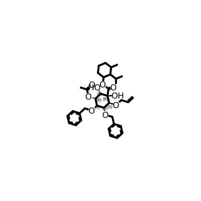 C=CCO[C@H]1[C@H](OCc2ccccc2)[C@@H](OCc2ccccc2)[C@H](OC(C)=O)[C@H](O)[C@]1(O)C(=O)OC1CCCC(C)C1C(C)C